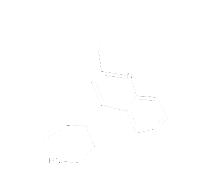 COc1cc(C2CCNCC2)c2ccccc2n1